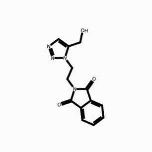 O=C1c2ccccc2C(=O)N1CCn1nncc1CO